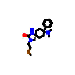 CSCCN1C[C@]2(CC[C@@](c3ccccc3)(N(C)C)CC2)NC1=O